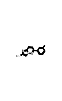 N#Cc1cn2nc(-c3cccc(I)c3)ccc2n1